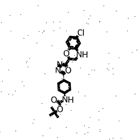 CC(C)(C)OC(=O)N[C@H]1CC[C@H](c2nnc(C3CNc4cc(Cl)ccc4O3)o2)CC1